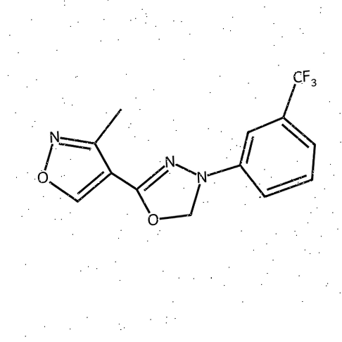 Cc1nocc1C1=NN(c2[c]ccc(C(F)(F)F)c2)CO1